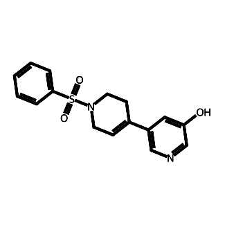 O=S(=O)(c1ccccc1)N1CC=C(c2cncc(O)c2)CC1